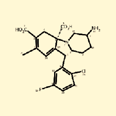 CC1=C(C(=O)O)C[C@@](C(=O)O)(N2CCCC(N)C2)C(Cc2cc(F)ccc2Cl)=C1